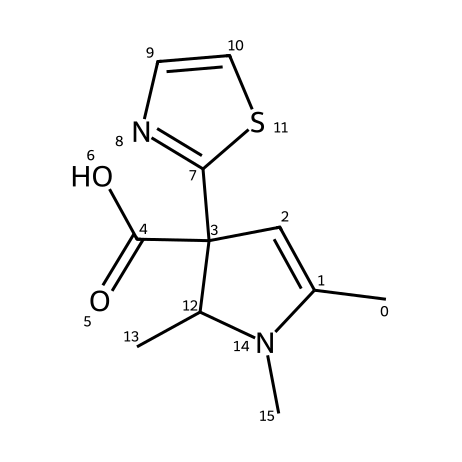 CC1=CC(C(=O)O)(c2nccs2)C(C)N1C